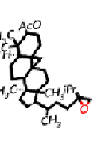 CC(=O)OC1CCC23CC24CCC2(C)[C@@H]([C@H](C)CCC5(C(C)C)CO5)CC[C@@]2(C)C4CC[C@H]3C1(C)C